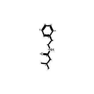 CC(C)CC(=O)NCCc1cc[c]cc1